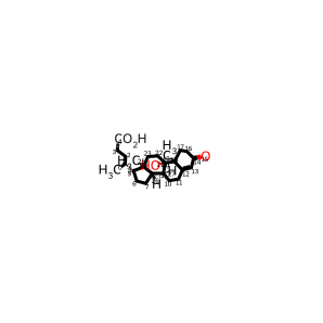 CC(CCC(=O)O)[C@H]1CC[C@H]2[C@@H]3CCC4=CC(=O)CC[C@]4(C)[C@@]3(O)CC[C@]12C